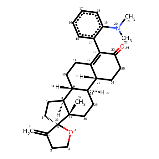 C=C1CCO[C@@]12CC[C@H]1[C@@H]3CCC4=C(c5ccccc5N(C)C)C(=O)CC[C@@H]4[C@H]3CC[C@@]12C